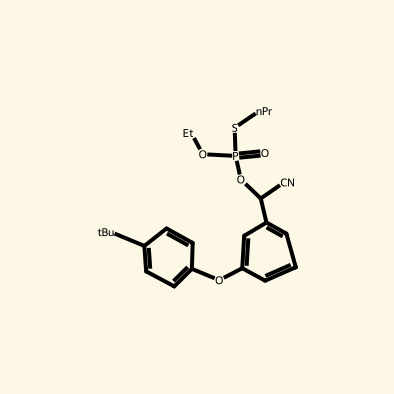 CCCSP(=O)(OCC)OC(C#N)c1cccc(Oc2ccc(C(C)(C)C)cc2)c1